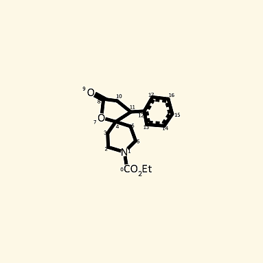 CCOC(=O)N1CCC2(CC1)OC(=O)CC2c1ccccc1